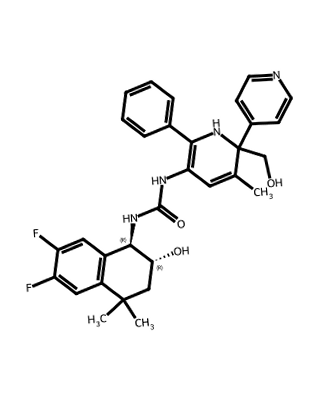 CC1=CC(NC(=O)N[C@@H]2c3cc(F)c(F)cc3C(C)(C)C[C@H]2O)=C(c2ccccc2)NC1(CO)c1ccncc1